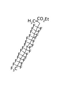 C=C(CC(F)(F)C(F)(F)C(F)(F)C(F)(F)C(F)(F)C(F)(F)C(F)(F)C(F)(F)C(F)(F)C(F)(F)C(F)(F)C(F)(F)C(F)(F)C(F)(F)F)C(=O)OCC